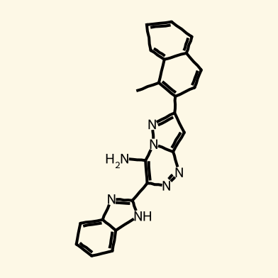 Cc1c(-c2cc3nnc(-c4nc5ccccc5[nH]4)c(N)n3n2)ccc2ccccc12